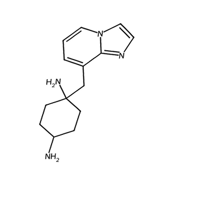 NC1CCC(N)(Cc2cccn3ccnc23)CC1